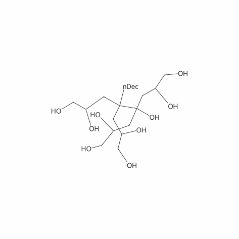 CCCCCCCCCCC(CC(O)CO)(CC(O)CO)C(O)(CC(O)CO)CC(O)CO